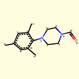 Cc1cc(C)c(N2CCN(C=O)CC2)c(C)c1